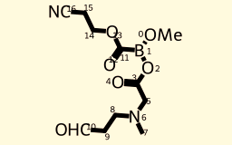 COB(OC(=O)CN(C)CCC=O)C(=O)OCCC#N